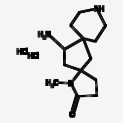 CN1C(=O)CCC12CC(N)C1(CCNCC1)C2.Cl.Cl